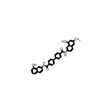 Cc1cc(O)c2cc(NC(=O)c3ccc(-c4ccc(C(=O)Nc5ccc6cccc(O)c6c5)cc4)cc3)ccc2c1